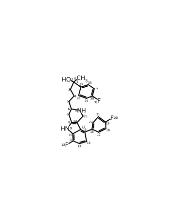 CC(O)(CCCC1Cc2[nH]c3c(F)ccc(-c4ccc(F)cc4)c3c2CN1)c1ccc(F)cc1